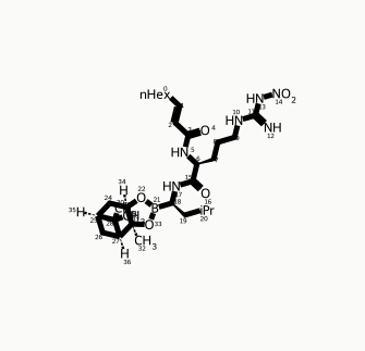 CCCCCC/C=C/C(=O)N[C@@H](CCCNC(=N)N[N+](=O)[O-])C(=O)N[C@@H](CC(C)C)B1O[C@@H]2C[C@@H]3C[C@@H](C3(C)C)[C@]2(C)O1